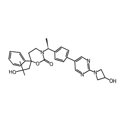 C[C@@H](c1ccc(-c2cnc(N3CC(O)C3)nc2)cc1)N1CCC(CC(C)(C)O)(c2ccccc2)OC1=O